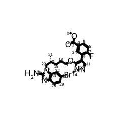 COC(=O)c1ccc(F)c(-c2cnn(C)c2OCCC[C@@H](C)Cn2c(N)nc3ccc(Br)cc32)c1